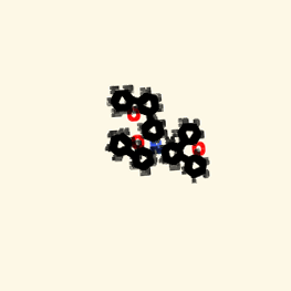 c1ccc2c(c1)Oc1ccccc1-c1cc(N(c3ccc(-c4cccc5c4oc4ccccc45)cc3)c3cccc4c3oc3ccccc34)ccc1-2